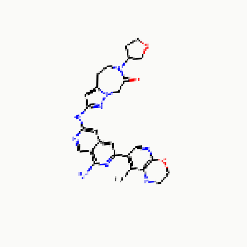 Cc1c(-c2cc3cc(Nc4cc5n(n4)CC(=O)N(C4CCOC4)CC5)ncc3c(N)n2)cnc2c1NCCO2